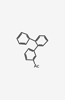 CC(=O)c1cccc(-c2ccccc2-c2ccccc2)c1